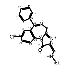 CCNC=C1N=C2CN=C(c3ccccc3)c3cc(Cl)ccc3N2C1=O